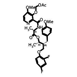 COc1ccc(C[C@H](COc2ccc(F)cc2F)[C@H](C)OC(=O)[C@H](C)NC(=O)c2nccc(OC)c2OCOC(C)=O)cc1